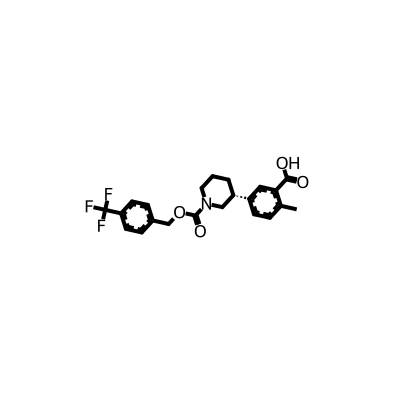 Cc1ccc([C@H]2CCCN(C(=O)OCc3ccc(C(F)(F)F)cc3)C2)cc1C(=O)O